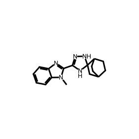 Cn1c(C2=NNC3(CC4CCC3CC4)N2)nc2ccccc21